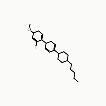 CCCCCC1CCC(C2=CCC(C3=CCC(OC)C=C3F)C=C2)CC1